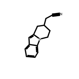 N#CCC1CCn2c(cc3ccccc32)C1